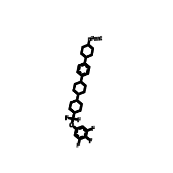 CCCCCC1CCC(c2ccc(C3CCC(C4CCC(C(F)(F)Oc5cc(F)c(F)c(F)c5)CC4)CC3)cc2)CC1